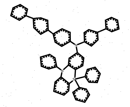 c1ccc(-c2ccc(-c3ccc(N(c4ccc(-c5ccccc5)cc4)c4ccc5c(c4)N(c4ccccc4)c4ccccc4[Si]5(c4ccccc4)c4ccccc4)cc3)cc2)cc1